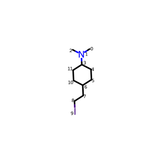 CN(C)C1CCC(CCI)CC1